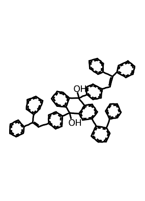 OC1(c2ccc(C=C(c3ccccc3)c3ccccc3)cc2)c2ccccc2C(O)(c2ccc(C=C(c3ccccc3)c3ccccc3)cc2)c2cc(-c3ccccc3-c3ccccc3)ccc21